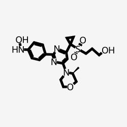 C[C@H]1COCCN1c1cc(C2(S(=O)(=O)CCCO)CC2)nc(-c2ccc(NO)cc2)n1